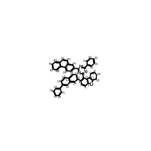 C1=Cc2c(oc3ccc(-c4ccc5ccc(-c6ccccc6)cc5c4)c(-c4nc(-c5ccccc5)nc(-c5ccc6c(ccc7ccccc76)c5)n4)c23)CC1